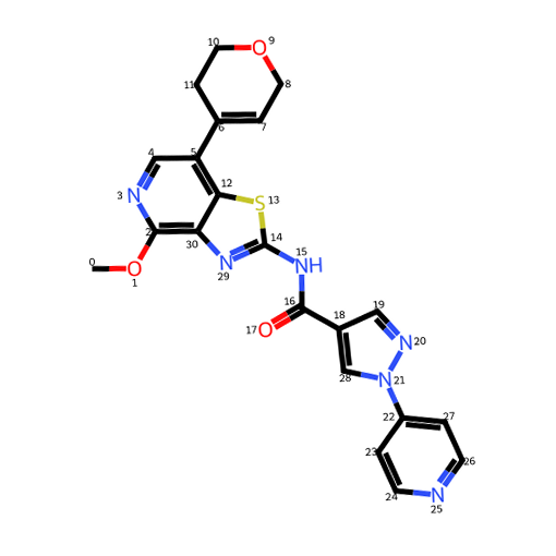 COc1ncc(C2=CCOCC2)c2sc(NC(=O)c3cnn(-c4ccncc4)c3)nc12